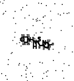 Cc1ccc(CC(=S)NCN2CCOCC2)nc1